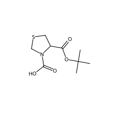 CC(C)(C)OC(=O)C1CSCN1C(=O)O